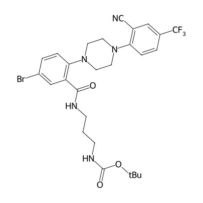 CC(C)(C)OC(=O)NCCCNC(=O)c1cc(Br)ccc1N1CCN(c2ccc(C(F)(F)F)cc2C#N)CC1